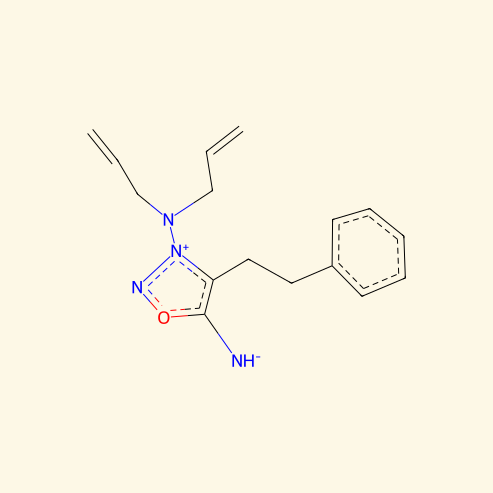 C=CCN(CC=C)[n+]1noc([NH-])c1CCc1ccccc1